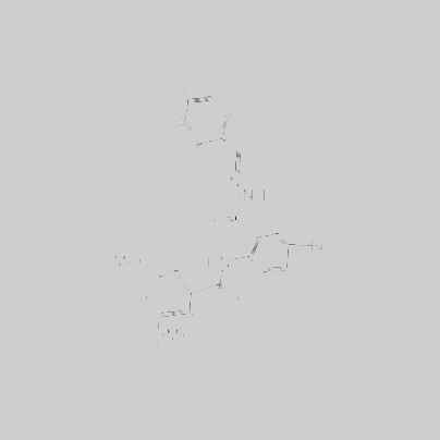 COc1cc(OC)cc(C(=O)Nc2ccc(Br)cc2C(=O)NN=Cc2cccc(F)c2)c1